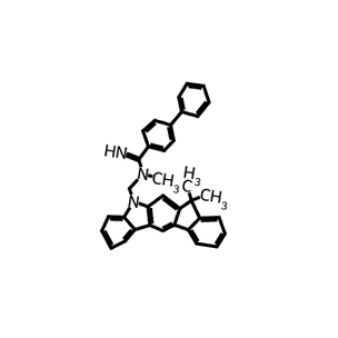 CN(Cn1c2ccccc2c2cc3c(cc21)C(C)(C)c1ccccc1-3)C(=N)c1ccc(-c2ccccc2)cc1